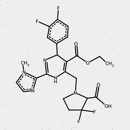 CCOC(=O)C1=C(CN2CCC(F)(F)C2C(=O)O)NC(c2nccn2C)=NC1c1ccc(F)c(F)c1